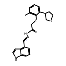 Cc1cccc(C2CCOC2)c1OCC(=O)N/N=C/c1cccc2[nH]ccc12